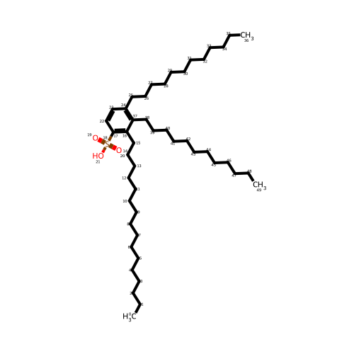 CCCCCCCCCCCCCCCCc1c(S(=O)(=O)O)ccc(CCCCCCCCCCCC)c1CCCCCCCCCCCC